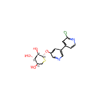 O[C@@H]1[C@@H](O)[C@H](Oc2cncc(-c3ccnc(Cl)c3)c2)SC[C@H]1O